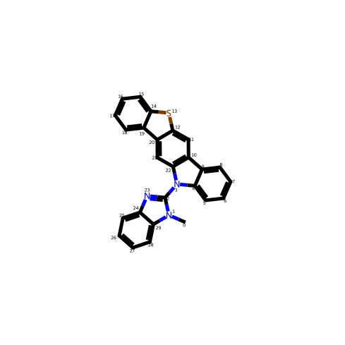 Cn1c(-n2c3ccccc3c3cc4sc5ccccc5c4cc32)nc2ccccc21